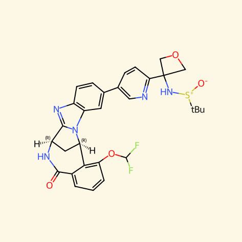 CC(C)(C)[S+]([O-])NC1(c2ccc(-c3ccc4nc5n(c4c3)[C@@H]3C[C@H]5NC(=O)c4cccc(OC(F)F)c43)cn2)COC1